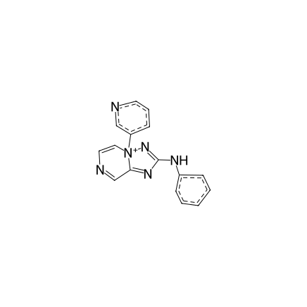 C1=C[N+]2(c3cccnc3)N=C(Nc3ccccc3)N=C2C=N1